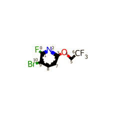 Fc1nc(OCC(F)(F)F)ccc1Br